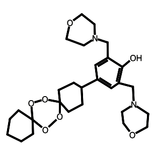 Oc1c(CN2CCOCC2)cc(C2CCC3(CC2)OOC2(CCCCC2)OO3)cc1CN1CCOCC1